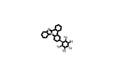 [2H]c1c([2H])c([2H])c(-c2ccc3c(c2)c2ccccc2c2nc4ccccc4n32)c([2H])c1[2H]